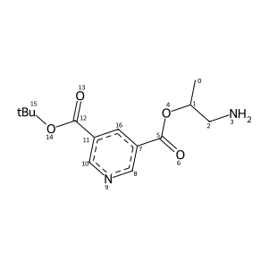 CC(CN)OC(=O)c1cncc(C(=O)OC(C)(C)C)c1